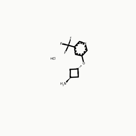 Cl.N[C@H]1C[C@H](Oc2cncc(C(F)(F)F)c2)C1